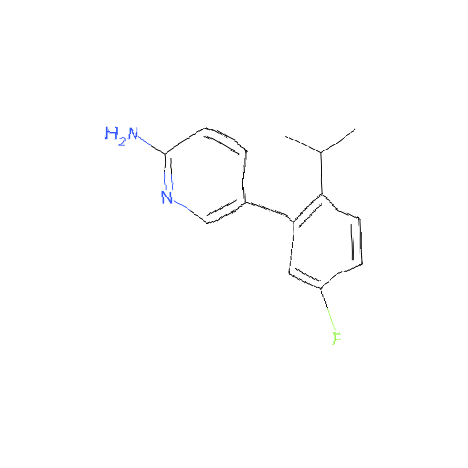 CC(C)c1ccc(F)cc1-c1ccc(N)nc1